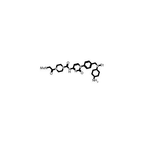 CCN(Cc1ccc(-n2ccc(NC(=O)N3CCN(C(=O)CNC)CC3)nc2=O)cc1)C1CCC(N)CC1